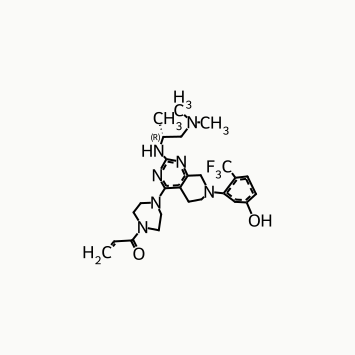 C=CC(=O)N1CCN(c2nc(N[C@H](C)CN(C)C)nc3c2CCN(c2cc(O)ccc2C(F)(F)F)C3)CC1